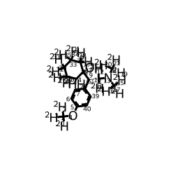 [2H]C([2H])([2H])Oc1ccc([C@@H](C([2H])([2H])N(C([2H])([2H])[2H])C([2H])([2H])[2H])C2(O)C([2H])([2H])C([2H])([2H])C([2H])([2H])C([2H])([2H])C2([2H])[2H])cc1